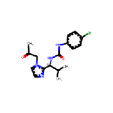 CC(=O)Cn1ccnc1[C@@H](NC(=O)Nc1ccc(Br)cc1)C(C)C